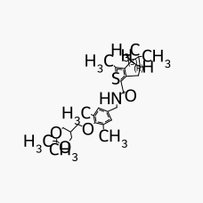 Cc1cc(CNC(=O)c2sc(C)c3c2C[C@@H]2[C@H]3C2(C)C)cc(C)c1OCC1COC(C)(C)OC1